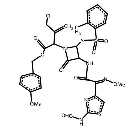 C=C(CCl)C(C(=O)OCc1ccc(OC)cc1)N1C(=O)C(NC(=O)C(=NOC)c2csc(NC=O)n2)C1SS(=O)(=O)c1ccccc1C